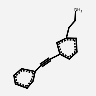 NCCc1cccc(C#Cc2ccccc2)c1